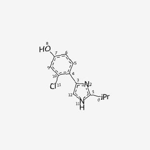 CC(C)c1nc(-c2ccc(O)cc2Cl)c[nH]1